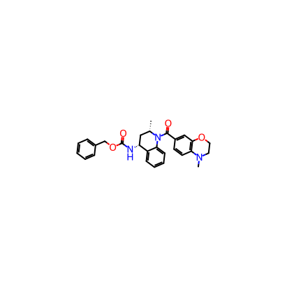 C[C@H]1C[C@@H](NC(=O)OCc2ccccc2)c2ccccc2N1C(=O)c1ccc2c(c1)OCCN2C